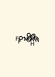 COc1ccncc1NS(=O)(=O)c1ccccc1C(=O)N(C)Cc1ccc(F)c(F)c1